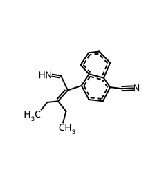 CCC(CC)=C(C=N)c1ccc(C#N)c2ccccc12